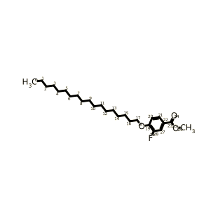 CCCCCCCCCCCCCCCCCCOc1ccc(C(=O)OC)cc1F